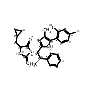 Cc1nc([C@H]([C@@H](C)c2ccccc2)N2C(=O)NC(CC3CC3)C2=O)[nH]c1-c1ccc(I)cc1F